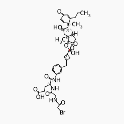 CCCC1=CC(=O)C=C[C@]1(C)[C@@H]1C[C@@H]2CC3O[C@@H](C45CC(Cc6cccc(NC(=O)[C@H](CCC(=O)O)NC(=O)CNC(=O)CBr)c6)(C4)C5)O[C@@]3(C(=O)CO)[C@@]2(C)C[C@@H]1O